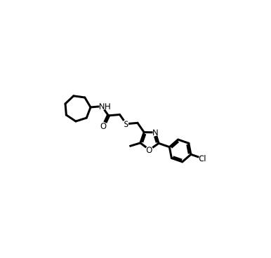 Cc1oc(-c2ccc(Cl)cc2)nc1CSCC(=O)NC1CCCCCC1